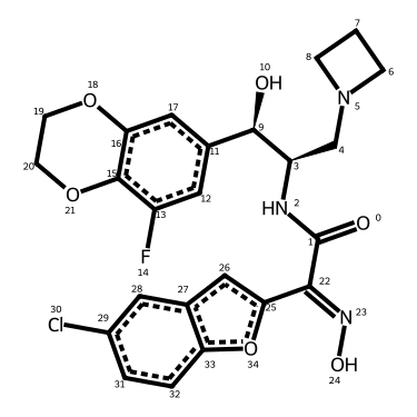 O=C(N[C@H](CN1CCC1)[C@H](O)c1cc(F)c2c(c1)OCCO2)/C(=N/O)c1cc2cc(Cl)ccc2o1